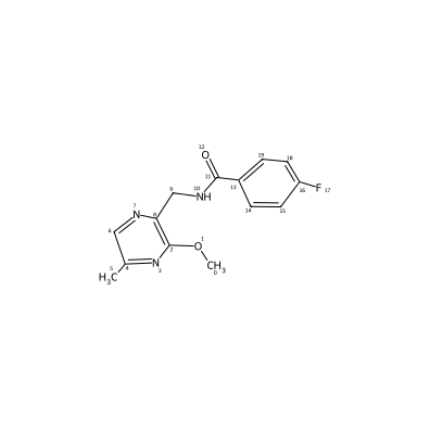 COc1nc(C)cnc1CNC(=O)c1ccc(F)cc1